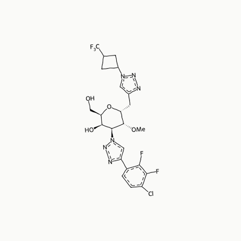 CO[C@@H]1[C@@H](n2cc(-c3ccc(Cl)c(F)c3F)nn2)[C@@H](O)[C@@H](CO)O[C@@H]1Cc1cn(C2CC(C(F)(F)F)C2)nn1